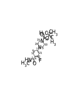 CNC(=O)c1ccc(N2CCN(C(=O)OC(C)(C)C)CC2)cc1F